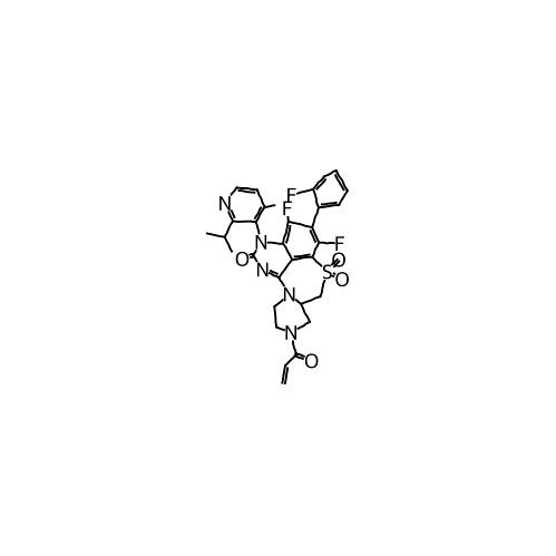 C=CC(=O)N1CCN2c3nc(=O)n(-c4c(C)ccnc4C(C)C)c4c(F)c(-c5ccccc5F)c(F)c(c34)S(=O)(=O)CC2C1